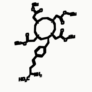 CC(C)(C)OC(=O)CN1CCN(CC(=O)OC(C)(C)C)CCN(CC(=O)OC(C)(C)C)[C@@H](Cc2ccc(/C=C/C[C@H](N)C(=O)O)cc2)CN(CC(=O)OC(C)(C)C)CC1